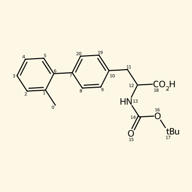 Cc1ccccc1-c1ccc(CC(NC(=O)OC(C)(C)C)C(=O)O)cc1